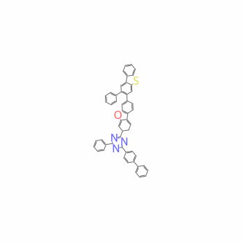 C1=c2oc3cc(-c4cc5sc6ccccc6c5cc4-c4ccccc4)ccc3c2=CCC1c1nc(-c2ccccc2)nc(-c2ccc(-c3ccccc3)cc2)n1